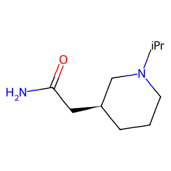 CC(C)N1CCC[C@@H](CC(N)=O)C1